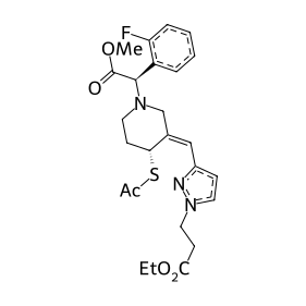 CCOC(=O)CCn1ccc(/C=C2/CN([C@@H](C(=O)OC)c3ccccc3F)CC[C@H]2SC(C)=O)n1